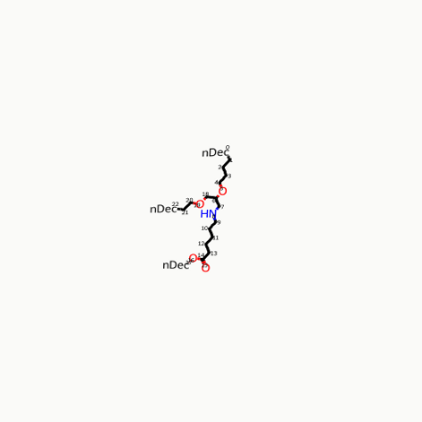 CCCCCCCCCCCCCCOC(CNCCCCCC(=O)OCCCCCCCCCC)COCCCCCCCCCCCC